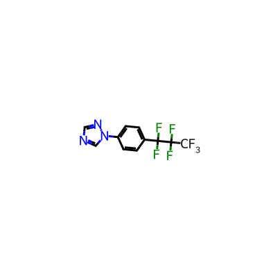 FC(F)(F)C(F)(F)C(F)(F)c1ccc(-n2cncn2)cc1